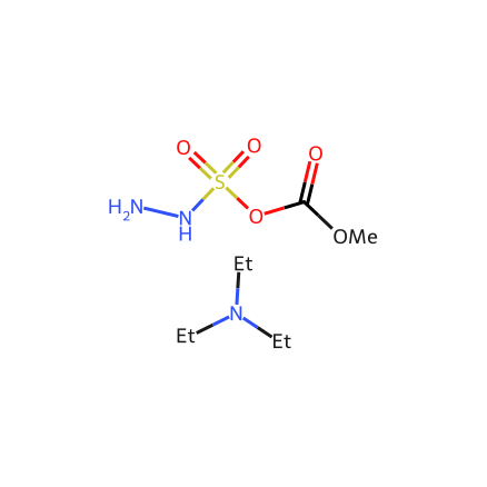 CCN(CC)CC.COC(=O)OS(=O)(=O)NN